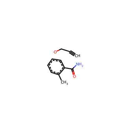 C#CC[O].Cc1ccccc1C(N)=O